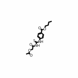 CCCCOC(=O)c1ccc(NC(=S)NC(=O)COC(C)=O)cc1